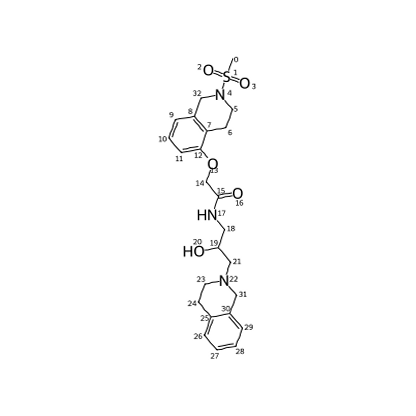 CS(=O)(=O)N1CCc2c(cccc2OCC(=O)NCC(O)CN2CCc3ccccc3C2)C1